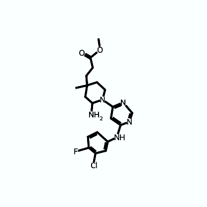 COC(=O)CCC1(C)CCN(c2cc(Nc3ccc(F)c(Cl)c3)ncn2)C(N)C1